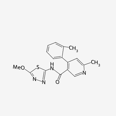 COc1nnc(NC(=O)c2cnc(C)cc2-c2ccccc2C)s1